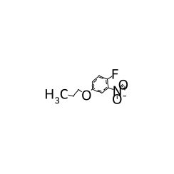 CCCOc1ccc(F)c([N+](=O)[O-])c1